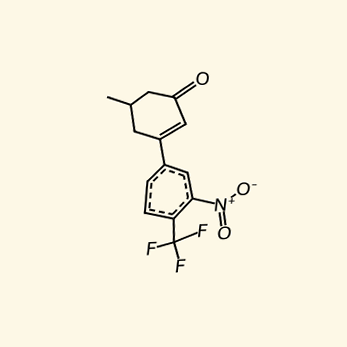 CC1CC(=O)C=C(c2ccc(C(F)(F)F)c([N+](=O)[O-])c2)C1